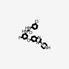 O=C(Nc1cccc(Cl)c1)Nc1cc(F)cc(Oc2ccc3ncc(N4CCNCC4)nc3c2)c1